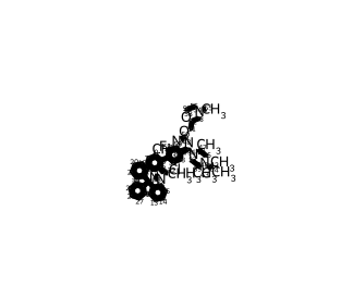 Cc1ccc2c(c(C)nn2C(c2ccccc2)(c2ccccc2)c2ccccc2)c1-c1c(Cl)cc2c(N3C[C@@H](C)N(C(C)(C)C)C[C@@H]3C)nc(OCC3CN(C)CCO3)nc2c1F